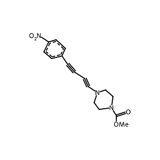 COC(=O)N1CCN(C#CC#Cc2ccc([N+](=O)[O-])cc2)CC1